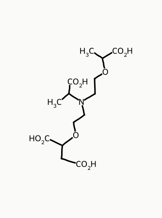 CC(OCCN(CCOC(CC(=O)O)C(=O)O)C(C)C(=O)O)C(=O)O